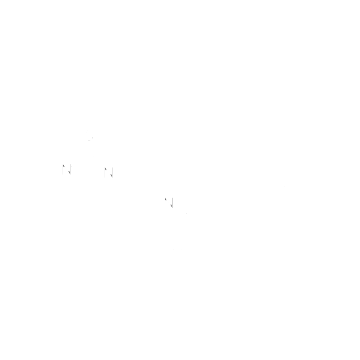 Cc1cccc(C#CC(=O)N2CCN(c3nccs3)CC2)c1C